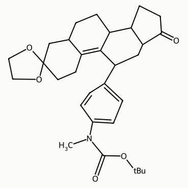 CN(C(=O)OC(C)(C)C)c1ccc(C2CC3C(=O)CCC3C3CCC4CC5(CCC4=C23)OCCO5)cc1